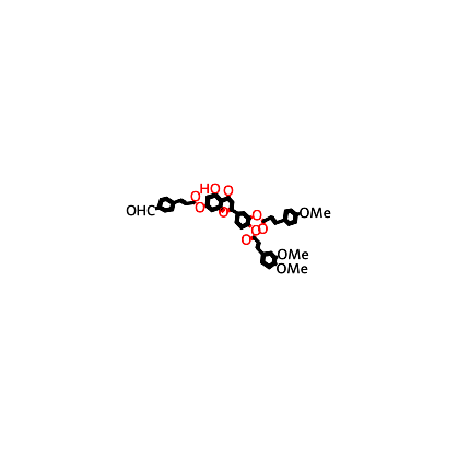 COc1ccc(/C=C/C(=O)Oc2cc(-c3cc(=O)c4c(O)cc(OC(=O)/C=C/c5ccc(C=O)cc5)cc4o3)ccc2OC(=O)/C=C/c2ccc(OC)c(OC)c2)cc1